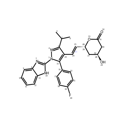 CC(C)c1nn(-c2nc3ccccc3[nH]2)c(-c2ccc(F)cc2)c1/C=C/[C@H]1C[C@H](O)CC(=O)O1